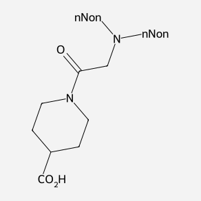 CCCCCCCCCN(CCCCCCCCC)CC(=O)N1CCC(C(=O)O)CC1